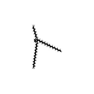 CCCCCCCCCCCCCCCCCCC1N(CCCCCCCCC)C=CN1CCCCCCCCCCCCCCCCCC